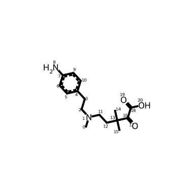 CN(CCc1ccc(N)cc1)CCC(C)(C)C(=O)C(=O)O